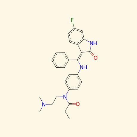 CCC(=O)N(CCN(C)C)c1ccc(N/C(=C2\C(=O)Nc3cc(F)ccc32)c2ccccc2)cc1